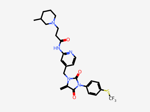 C=C1C(=O)N(c2ccc(SC(F)(F)F)cc2)C(=O)N1Cc1ccnc(NC(=O)CCN2CCCC(C)C2)c1